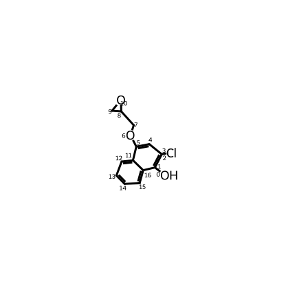 Oc1c(Cl)cc(OCC2CO2)c2ccccc12